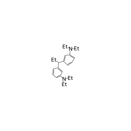 CCC(c1cccc(N(CC)CC)c1)c1cccc(N(CC)CC)c1